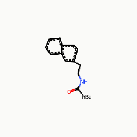 CCCCC(=O)NCCc1ccc2ccccc2c1